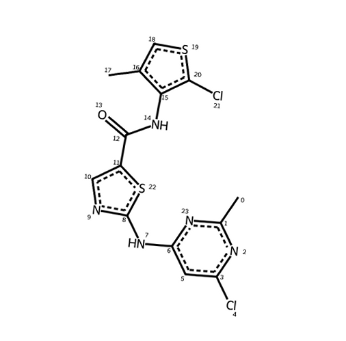 Cc1nc(Cl)cc(Nc2ncc(C(=O)Nc3c(C)csc3Cl)s2)n1